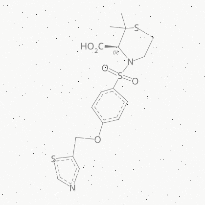 CC1(C)SCCN(S(=O)(=O)c2ccc(OCc3cncs3)cc2)[C@H]1C(=O)O